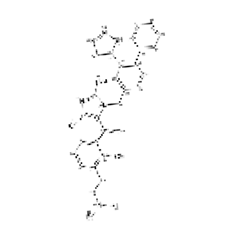 CCCCc1nc(Cl)c(C(=O)c2cccc(CCN(CC)CC)[n+]2[O-])n1Cc1ccc(-c2ccccc2)c(-c2nnn[nH]2)c1